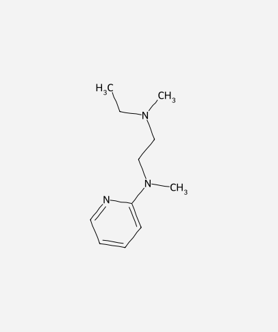 CCN(C)CCN(C)c1ccccn1